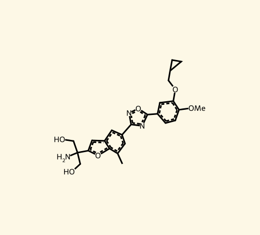 COc1ccc(-c2nc(-c3cc(C)c4oc(C(N)(CO)CO)cc4c3)no2)cc1OCC1CC1